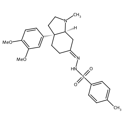 COc1ccc([C@@]23CC/C(=N\NS(=O)(=O)c4ccc(C)cc4)C[C@@H]2N(C)CC3)cc1OC